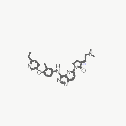 CCc1ccc(Oc2ccc(Nc3ncnc4ccc(N5CC/C(=C\CN(C)C)C5=O)nc34)cc2C)cn1